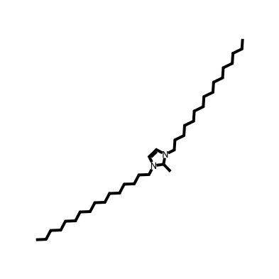 CCCCCCCCCCCCCCCCN1C=CN(CCCCCCCCCCCCCCCC)C1C